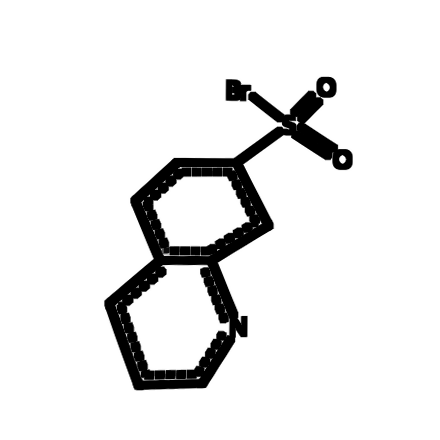 O=S(=O)(Br)c1ccc2cccnc2c1